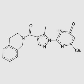 Cc1c(C(=O)N2CCc3ccccc3C2)cnn1-c1nc(C(C)(C)C)cc(=O)[nH]1